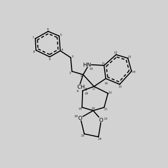 CC1(CCc2ccccc2)Nc2ccccc2C12CCC1(CC2)OCCO1